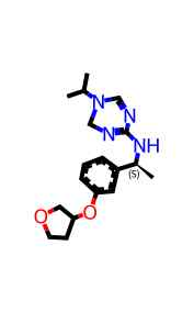 CC(C)N1C=NC(N[C@@H](C)c2cccc(OC3CCOC3)c2)=NC1